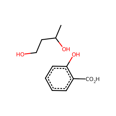 CC(O)CCO.O=C(O)c1ccccc1O